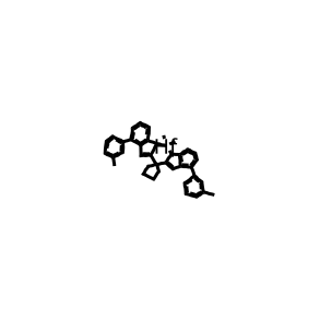 Cc1cccc(-c2cccc3c2C=C2[CH]3[Hf]([CH3])([CH3])[CH]3C(=Cc4c(-c5cccc(C)c5)cccc43)C23CCCC3)c1